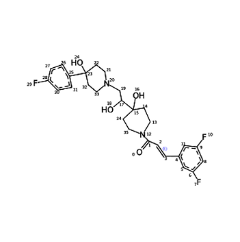 O=C(/C=C/c1cc(F)cc(F)c1)N1CCC(O)(C(O)CN2CCC(O)(c3ccc(F)cc3)CC2)CC1